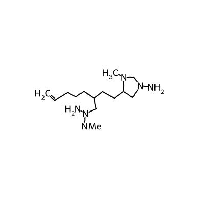 C=CCCCC(CCC1CN(N)CN1C)CN(N)NC